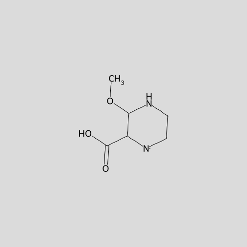 COC1NCC[N]C1C(=O)O